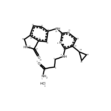 Cl.NC(=O)CCNc1nc(Nc2ccc3c(c2)C(=O)NC3)ncc1C1CC1